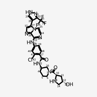 O=C(NC1CCCN(C(=O)[C@H]2C[C@H](O)CN2)C1)c1ccc(Nc2nccn3c(-c4c[nH]nc4C(F)(F)F)cnc23)cc1Cl